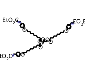 CCOC(=O)/C=C/c1ccc(OCCCCCCCCCC(=O)OCC(COC(=O)CCCCCCCCCOc2ccc(/C=C/C(=O)OCC)cc2)OC(=O)CCCCCCCCCOc2ccc(/C=C/C(=O)OCC)cc2)cc1